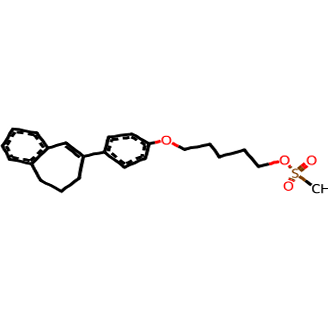 CS(=O)(=O)OCCCCCOc1ccc(C2=Cc3ccccc3CCC2)cc1